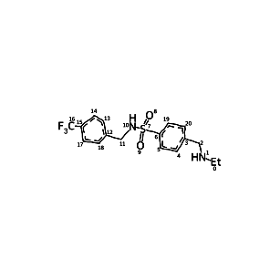 CCNCc1ccc(S(=O)(=O)NCc2ccc(C(F)(F)F)cc2)cc1